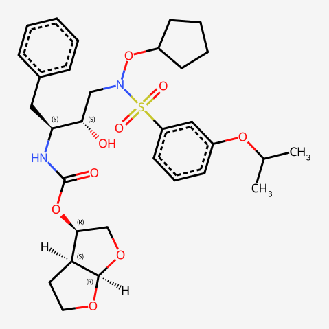 CC(C)Oc1cccc(S(=O)(=O)N(C[C@H](O)[C@H](Cc2ccccc2)NC(=O)O[C@H]2CO[C@H]3OCC[C@H]32)OC2CCCC2)c1